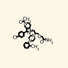 CC(=O)N1CCc2c(c(-c3ccc(Cl)cc3)nn2CC(COCC(N)=O)N2CCN(c3ccccc3C)CC2)C1